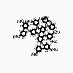 CC(C)(C)c1cc(N2c3cc(-n4c5ccc(C(C)(C)C)cc5c5cc(C(C)(C)C)ccc54)ccc3B3c4ccc(-n5c6ccc(C(C)(C)C)cc6c6cc(C(C)(C)C)ccc65)cc4N(c4cc(C(C)(C)C)cc(C(C)(C)C)c4)c4cc(N5c6ccccc6Sc6ccccc65)cc2c43)cc(C(C)(C)C)c1